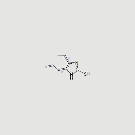 C=C/C=c1/[nH]c(S)n/c1=C/C